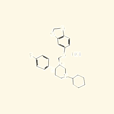 Cl.Fc1ccc([C@H]2CCN(C3CCCCC3)C[C@@H]2COc2ccc3c(c2)OCO3)cc1